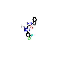 CCn1nc(-c2ccc(Cl)c(F)c2)nc1CC(=O)NC1CCc2ccccc21